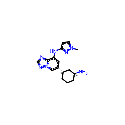 Cn1ccc(Nc2cc([C@H]3CCC[C@H](N)C3)cn3ncnc23)n1